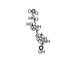 CNC(C(=O)NC(C(=O)N(C)C/C=C(\C)C(=O)N[C@H](CCC(=O)NCCN1C(=O)C=CC1=O)C(=O)O)C(C)(C)C)C(C)(C)c1ccc(O)cc1